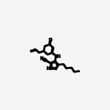 C=CCC1CC(=O)C=C(Nc2c(CCCCC)c[nH]c2C#N)C1